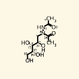 CC(=O)NN(C[C@@H](O)[C@@H](O)[C@H](O)CO)C(C)=O